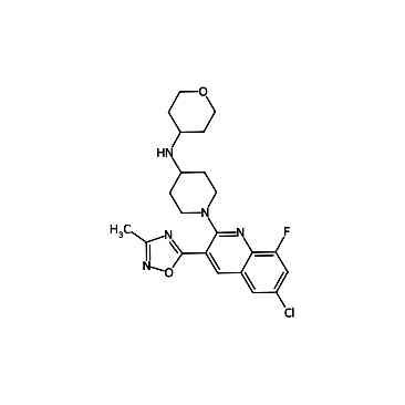 Cc1noc(-c2cc3cc(Cl)cc(F)c3nc2N2CCC(NC3CCOCC3)CC2)n1